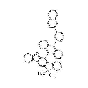 CC1(C)c2ccccc2-c2c1cc1c(oc3ccccc31)c2-c1c2ccccc2c(-c2cccc(-c3ccc4ccccc4c3)c2)c2ccccc12